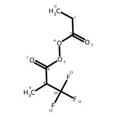 CCC(=O)OOC(=O)C(C)C(F)(F)F